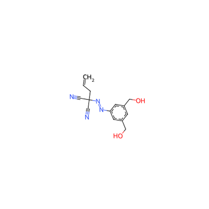 C=CCC(C#N)(C#N)N=Nc1cc(CO)cc(CO)c1